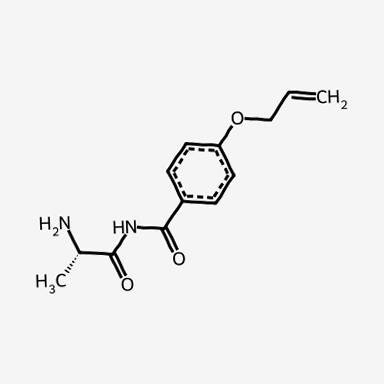 C=CCOc1ccc(C(=O)NC(=O)[C@H](C)N)cc1